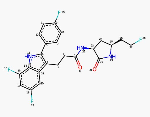 O=C(CCc1c(-c2ccc(F)cc2)[nH]c2c(F)cc(F)cc12)N[C@H]1C[C@@H](CCF)NC1=O